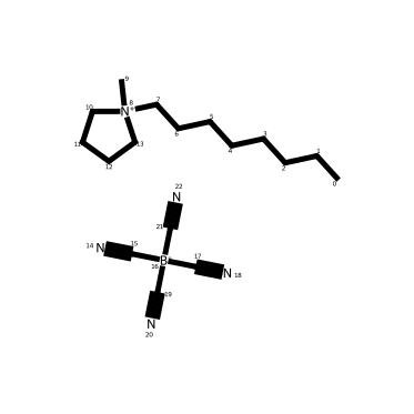 CCCCCCCC[N+]1(C)CCCC1.N#C[B-](C#N)(C#N)C#N